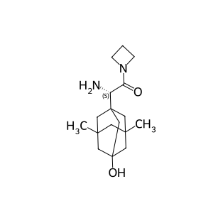 CC12CC3(C)CC(O)(C1)CC([C@H](N)C(=O)N1CCC1)(C2)C3